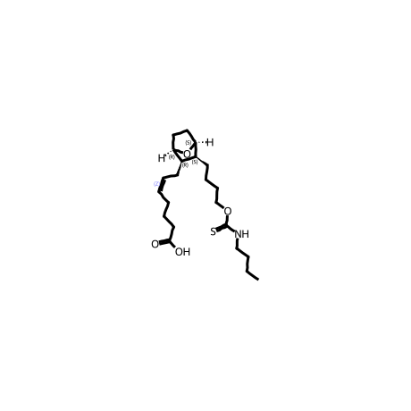 CCCCNC(=S)OCCCC[C@H]1[C@@H](C/C=C\CCCC(=O)O)[C@H]2CC[C@@H]1O2